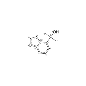 CC(C)(O)c1cccc2occc12